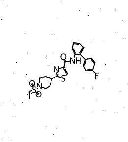 CCS(=O)(=O)N1CCC(c2nc(C(=O)Nc3ccccc3-c3ccc(F)cc3)cs2)CC1